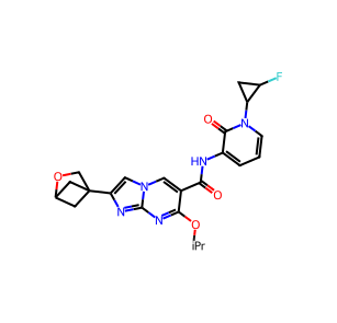 CC(C)Oc1nc2nc(C34COC(C3)C4)cn2cc1C(=O)Nc1cccn(C2CC2F)c1=O